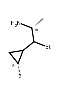 CCC(C1C[C@H]1C)[C@@H](C)N